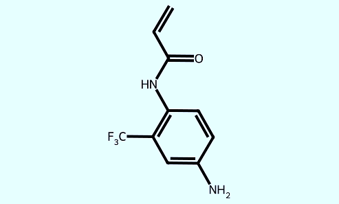 C=CC(=O)Nc1ccc(N)cc1C(F)(F)F